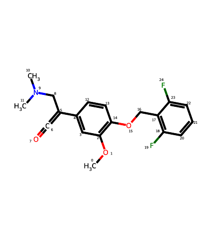 COc1cc(C(=C=O)CN(C)C)ccc1OCc1c(F)cccc1F